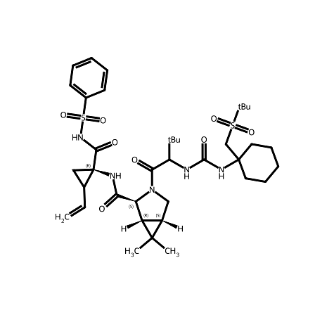 C=CC1C[C@]1(NC(=O)[C@@H]1[C@@H]2[C@H](CN1C(=O)C(NC(=O)NC1(CS(=O)(=O)C(C)(C)C)CCCCC1)C(C)(C)C)C2(C)C)C(=O)NS(=O)(=O)c1ccccc1